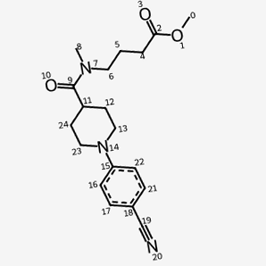 COC(=O)CCCN(C)C(=O)C1CCN(c2ccc(C#N)cc2)CC1